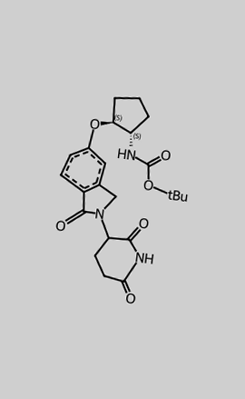 CC(C)(C)OC(=O)N[C@H]1CCC[C@@H]1Oc1ccc2c(c1)CN(C1CCC(=O)NC1=O)C2=O